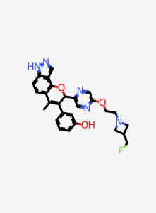 CC1=C(c2cccc(O)c2)C(c2cnc(OCCN3CC(CF)C3)cn2)Oc2c1ccc1[nH]ncc21